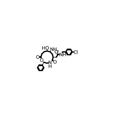 N[C@@H]1C[C@@H](CC(=O)NCc2ccc(Cl)cc2)C(=O)NC[C@@H](c2ccccc2)OC(=O)CC[C@H]1O